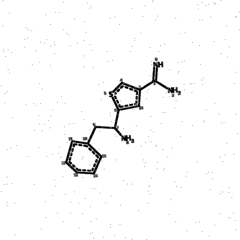 N=C(N)c1csc(C(N)Cc2ccccc2)c1